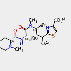 CC[C@H](C)[C@H](NC(=O)[C@H]1CCCCN1C)C(=O)N(C)[C@H](CC(OC(C)=O)c1nc(C(=O)O)cs1)C(C)C